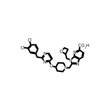 O=C(O)c1ccc2nc(CN3CCC(Oc4ccnc(Cc5ccc(Cl)c(Cl)c5)n4)CC3)n(CC3CCO3)c2n1